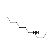 C/C=C\NCCCCCC